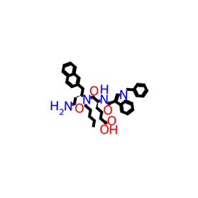 CCCCCN(C(=O)[C@H](CCCC(=O)O)NC(=O)c1cn(Cc2ccccc2)c2ccccc12)[C@H](CC(N)=O)Cc1ccc2ccccc2c1